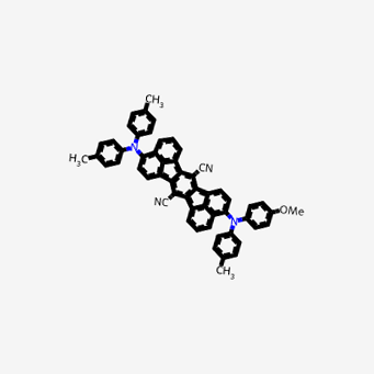 COc1ccc(N(c2ccc(C)cc2)c2ccc3c4c(C#N)c5c6cccc7c(N(c8ccc(C)cc8)c8ccc(C)cc8)ccc(c5c(C#N)c4c4cccc2c43)c76)cc1